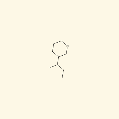 CCC(C)C1CCC[N]C1